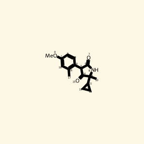 COc1ccc(C2C(=O)NC(C)(C3CC3)C2=O)c(C)c1